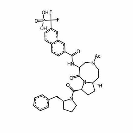 CC(=O)N1CC[C@H]2CC[C@@H](C(=O)N3CCC[C@H]3Cc3ccccc3)N2C(=O)C(NC(=O)c2ccc3ccc(C(F)(F)P(=O)(O)O)cc3c2)C1